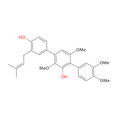 COc1ccc(-c2c(OC)cc(-c3ccc(O)c(CC=C(C)C)c3)c(OC)c2O)cc1OC